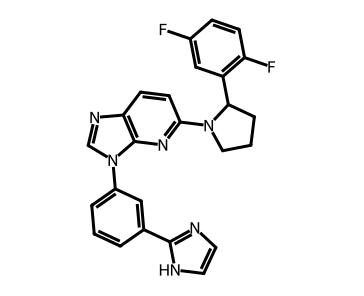 Fc1ccc(F)c(C2CCCN2c2ccc3ncn(-c4cccc(-c5ncc[nH]5)c4)c3n2)c1